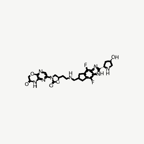 O=C1COc2ncc(N3CC(CCNCC4Cc5c(c(F)c6[nH]c([C@@H]7C[C@@H](O)CN7)nc6c5F)C4)OC3=O)nc2N1